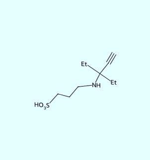 C#CC(CC)(CC)NCCCS(=O)(=O)O